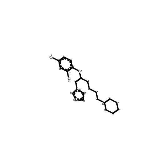 Clc1ccc(OC(CCCCC2CCCCC2)Cn2ccnc2)c(Cl)c1